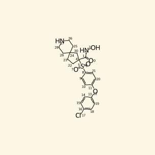 O=C(NO)C1(S(=O)(=O)c2ccc(Oc3ccc(Cl)cc3)cc2)CCC2(CCNCC2)C1